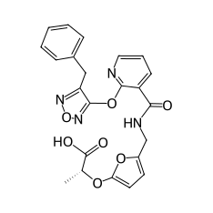 C[C@@H](Oc1ccc(CNC(=O)c2cccnc2Oc2nonc2Cc2ccccc2)o1)C(=O)O